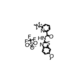 COc1ccc2nc(NC(=O)c3cccc([N+](C)(C)C)n3)sc2c1.O=S(=O)([O-])C(F)(F)F